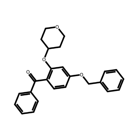 O=C(c1ccccc1)c1ccc(OCc2ccccc2)cc1OC1CCOCC1